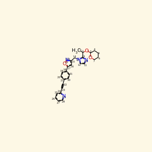 CC(OC1CCCCO1)c1nccn1Cc1cc(-c2ccc(C#Cc3ccccn3)cc2)on1